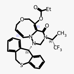 CCC(=O)O/C1=C2\C(=O)N([C@H](C)C(F)(F)F)CN([C@H]3c4ccccc4CSc4ccccc43)N2/C=C\COC1